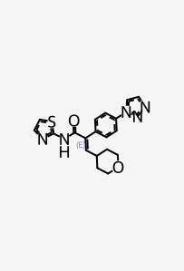 O=C(Nc1nccs1)/C(=C/C1CCOCC1)c1ccc(-n2ccnn2)cc1